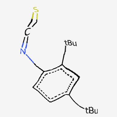 CC(C)(C)c1ccc(N=C=S)c(C(C)(C)C)c1